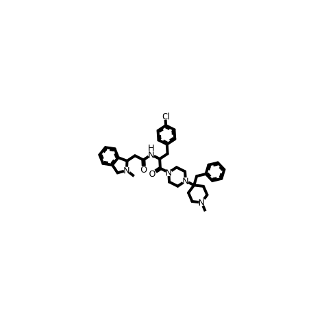 CN1CCC(Cc2ccccc2)(N2CCN(C(=O)C(Cc3ccc(Cl)cc3)NC(=O)CC3c4ccccc4CN3C)CC2)CC1